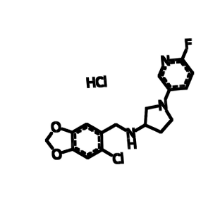 Cl.Fc1ccc(N2CCC(NCc3cc4c(cc3Cl)OCO4)C2)cn1